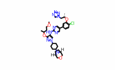 COCCC(C)Oc1nn(C2CCC(N3[C@@H]4CC[C@H]3COC4)CC2)cc1Nc1ncc(-c2ccc(Cl)c(O[C@@H](C)Cn3cnnn3)c2)cn1